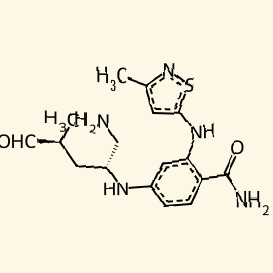 Cc1cc(Nc2cc(N[C@@H](CN)C[C@H](C)C=O)ccc2C(N)=O)sn1